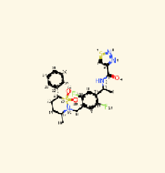 CC(NC(=O)c1csnn1)c1cc(F)c(CN2[C@@H](C)CC[C@H](c3ccccc3)S2(=O)=O)cc1F